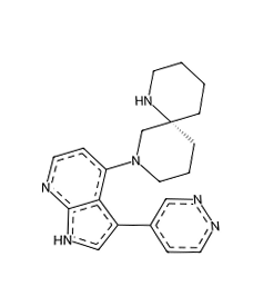 c1cc(-c2c[nH]c3nccc(N4CCC[C@]5(CCCCN5)C4)c23)cnn1